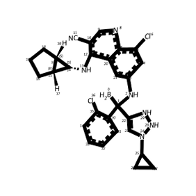 BC(Nc1cc(Cl)c2ncc(C#N)c(N[C@@H]3[C@@H]4CCC[C@@H]43)c2c1)(C1=CN(C2CC2)NN1)c1ccccc1Cl